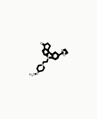 COC1CCN(CCn2c3ccc(-c4ncco4)cc3c3c4c(ccc32)C(=O)CC4)CC1